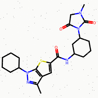 Cc1nn(C2CCCCC2)c2sc(C(=O)NC3CCCC(N4C(=O)CN(C)C4=O)C3)cc12